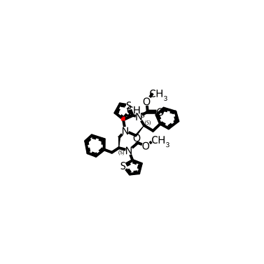 CCN(C[C@H](Cc1ccccc1)N(C(=O)OC)c1cccs1)C[C@H](Cc1ccccc1)N(C(=O)OC)c1cccs1